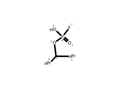 CCCC(CCC)OP(=O)(O)F